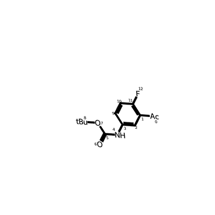 CC(=O)c1cc(NC(=O)OC(C)(C)C)ccc1F